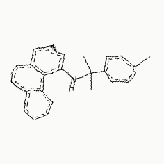 Cc1ccc(C(C)(C)Nc2cccc3ccc4ccccc4c23)cc1